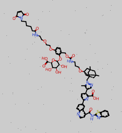 Cc1c(-c2ccc(-c3ccc4nccc(C(=O)Nc5nc6ccccc6s5)c4c3)nc2C(=O)O)cnn1CC12CC3(C)CC(C)(C1)CC(OCCCNC(=O)OCc1ccc(OCCOCCNC(=O)CCCCCN4C(=O)C=CC4=O)cc1O[C@@H]1O[C@H](C(=O)O)[C@@H](O)[C@H](O)[C@H]1O)(C3)C2